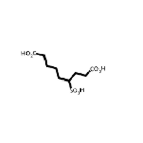 O=C(O)CCCCC(CCC(=O)O)S(=O)(=O)O